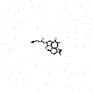 C#CCCC(=O)O[C@@]1(C)CC2=C(C1=O)C1C(=C)CC[C@H](C(=C)C)[C@H]1C=C(C)C2=O